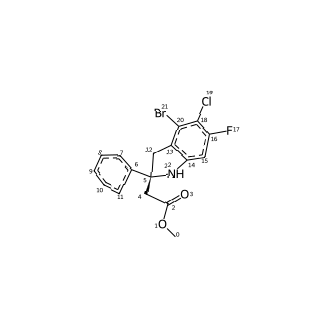 COC(=O)C[C@@]1(c2ccccc2)Cc2c(cc(F)c(Cl)c2Br)N1